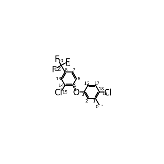 [CH2]c1cc(Oc2ccc(C(F)(F)F)cc2Cl)ccc1Cl